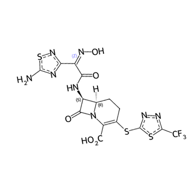 Nc1nc(/C(=N/O)C(=O)N[C@@H]2C(=O)N3C(C(=O)O)=C(Sc4nnc(C(F)(F)F)s4)CC[C@H]23)ns1